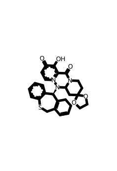 O=C1c2c(O)c(=O)ccn2N([C@H]2C3=C(C=CCC3)CSc3ccccc32)C2CC3(CCN12)OCCO3